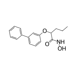 CCCC(Oc1cccc(-c2ccccc2)c1)C(=O)NO